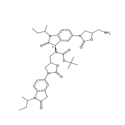 CCC(C)N1C(=O)Cc2cc(N3CC(CN(C(=O)OC(C)(C)C)[C@H]4C(=O)N(C(C)CC)c5ccc(N6CC(CN)OC6=O)cc54)OC3=O)ccc21